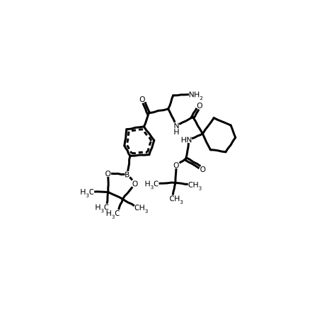 CC(C)(C)OC(=O)NC1(C(=O)NC(CN)C(=O)c2ccc(B3OC(C)(C)C(C)(C)O3)cc2)CCCCC1